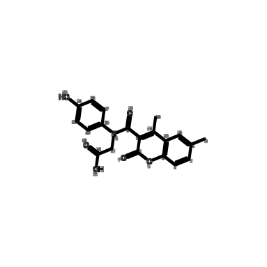 Cc1ccc2oc(=O)c(C(=O)N(CC(=O)O)c3ccc(O)cc3)c(C)c2c1